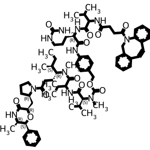 CC[C@H](C)[C@@H](CCC(=O)N1CCC[C@@H]1C[C@H]1O[C@@H](c2ccccc2)[C@@H](C)NC1=O)N(C)C(=O)C(NC(=O)[C@H](C(C)C)N(C)C(=O)OCc1ccc(NC(=O)[C@@H](CCCNC(N)=O)NC(=O)C(NC(=O)CCC(=O)N2Cc3ccccc3C#Cc3ccccc32)C(C)C)cc1)C(C)C